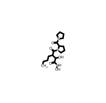 CCCCC(C(=O)N1CCCC1C(=O)N1CCCC1)C(O)C(=O)NO